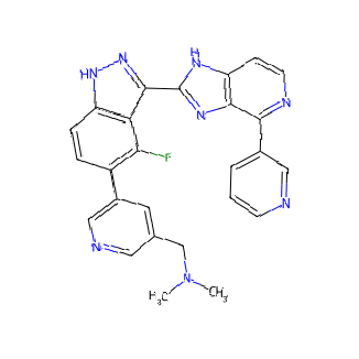 CN(C)Cc1cncc(-c2ccc3[nH]nc(-c4nc5c(-c6cccnc6)nccc5[nH]4)c3c2F)c1